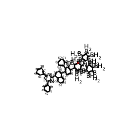 Bc1c(B)c(B)c(N(c2c(B)c(B)c(B)c(B)c2B)c2c(B)c(B)c(-c3ccc(-c4ccc(-c5nc(-c6ccccc6)nc(-c6ccccc6)n5)c5ccccc45)c4c3oc3ccccc34)c(B)c2B)c(B)c1B